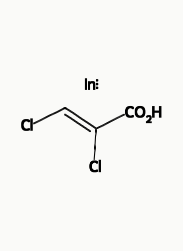 O=C(O)C(Cl)=CCl.[In]